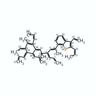 C=C/C=C(\C=C(/C)c1cccc2c(C=C)c(/C=C\C)sc12)C(=C)/C=c1c(/C=C\C)c(C)c(=C/C)/c(=C\C=C)c/1=C/C=C